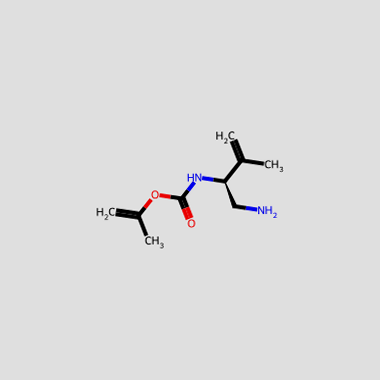 C=C(C)OC(=O)N[C@H](CN)C(=C)C